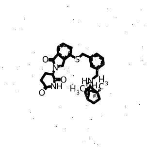 CC1(C)C2CC[C@@]1(C)[C@@H](NCc1cccc(CSc3cccc4c3CN(C3CCC(=O)NC3=O)C4=O)c1)C2